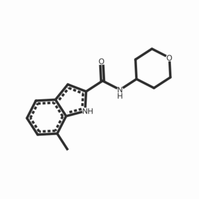 Cc1cccc2cc(C(=O)NC3CCOCC3)[nH]c12